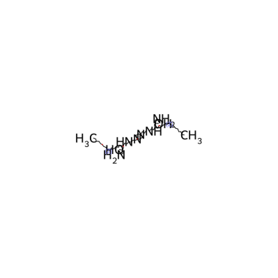 CCCCCCCC/C=C\CCCCCC(CCNCCCN1CCN(CCCNCCC(CCCCC/C=C\CCCCCCCC)CC(O)CN)CC1)CC(O)CN